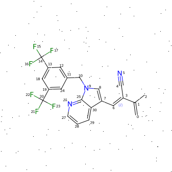 C=C(C)/C(C#N)=C/c1cn(Cc2cc(C(F)(F)F)cc(C(F)(F)F)c2)c2ncccc12